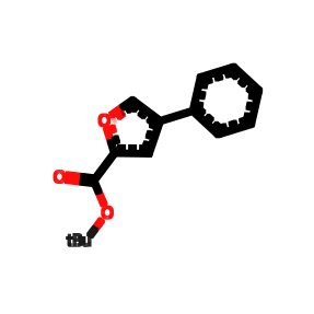 CC(C)(C)OC(=O)c1cc(-c2ccccc2)co1